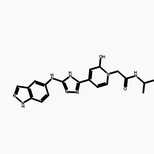 CC(C)NC(=O)CN1C=CC(c2nnc(Nc3ccc4[nH]ncc4c3)[nH]2)=CC1O